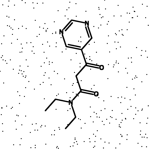 CCN(CC)C(=O)CC(=O)c1cncnc1